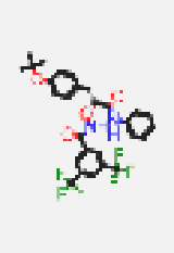 CC(C)(C)Oc1ccc(C[C@@H](ONC(=O)c2cc(C(F)(F)F)cc(C(F)(F)F)c2)C(=O)Nc2ccccc2)cc1